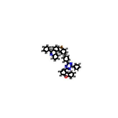 c1ccc(-c2nc(-c3ccc(-c4ccc5sc6ccc7c(-c8ccccc8)nc8ccccc8c7c6c5c4)cc3)nc(-c3cccc4oc5ccccc5c34)n2)cc1